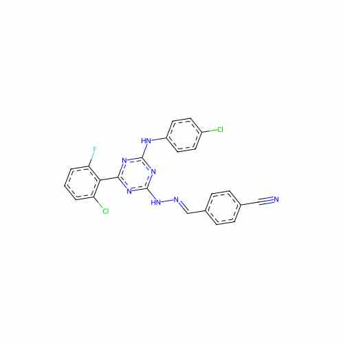 N#Cc1ccc(/C=N/Nc2nc(Nc3ccc(Cl)cc3)nc(-c3c(F)cccc3Cl)n2)cc1